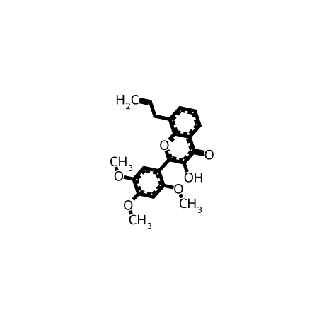 C=CCc1cccc2c(=O)c(O)c(-c3cc(OC)c(OC)cc3OC)oc12